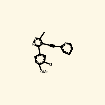 COc1ccc(-c2noc(C)c2C#Cc2ccccn2)cc1Cl